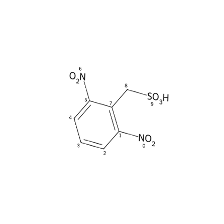 O=[N+]([O-])c1cccc([N+](=O)[O-])c1CS(=O)(=O)O